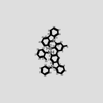 Cc1cc(-c2cc3c4ccccc4n(-c4ccccc4)c3cc2Nc2ccccc2C)c2c(c1)-n1c3ccccc3c3cccc(c31)B2